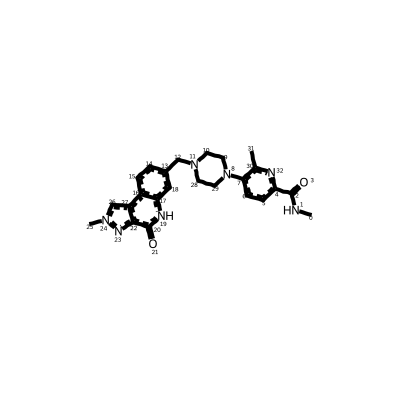 CNC(=O)c1ccc(N2CCN(Cc3ccc4c(c3)[nH]c(=O)c3nn(C)cc34)CC2)c(C)n1